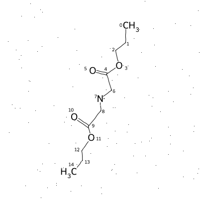 CCCOC(=O)C[N]CC(=O)OCCC